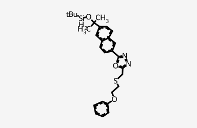 CC(C)(C)[SiH2]OC(C)(C)c1ccc2cc(-c3nnc(CSCCOc4ccccc4)o3)ccc2c1